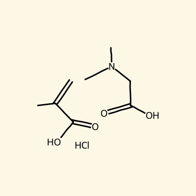 C=C(C)C(=O)O.CN(C)CC(=O)O.Cl